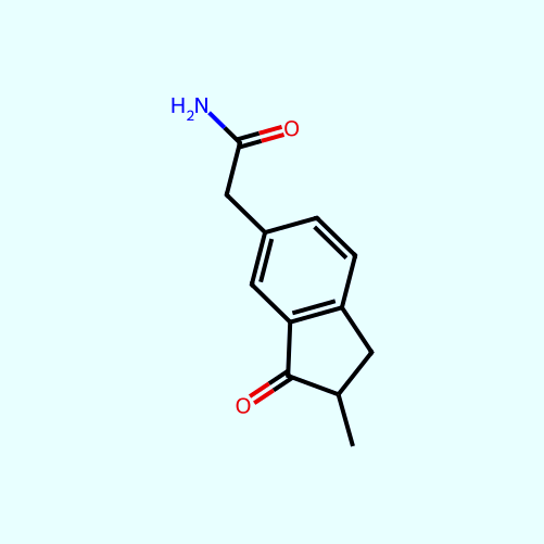 CC1Cc2ccc(CC(N)=O)cc2C1=O